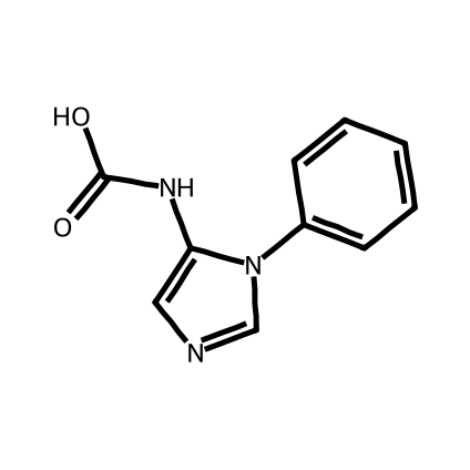 O=C(O)Nc1cncn1-c1ccccc1